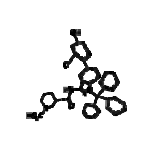 O=C(Nc1nn(C(c2ccccc2)(c2ccccc2)c2ccccc2)c2ccc(-c3ccc(O)cc3Cl)cc12)C1CCCN(C(=O)O)C1